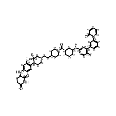 O=C1CCC(Nc2ccc(C3CCN(CCC4CCN(C(=O)[C@@H]5CCC[C@H](Nc6ncc(F)c(-c7cccc(-n8ccccc8=O)c7)n6)C5)CC4)CC3(F)F)c(F)c2)C(=O)N1